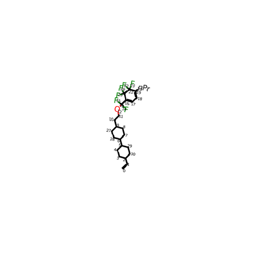 C=CC1CCC(C2CCC(CCOC(F)(F)C3=CC=C(CCC)C(F)(F)C3(F)F)CC2)CC1